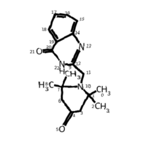 CC1(C)CC(=O)CC(C)(C)N1Cc1nc2ccccc2c(=O)[nH]1